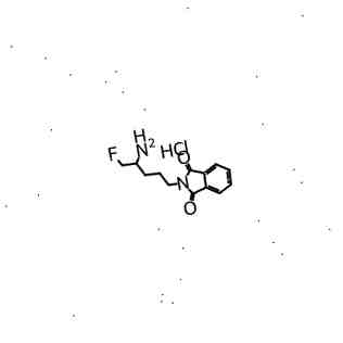 Cl.NC(CF)CCCN1C(=O)c2ccccc2C1=O